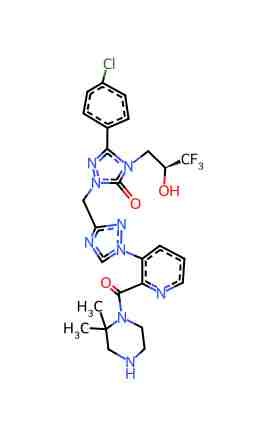 CC1(C)CNCCN1C(=O)c1ncccc1-n1cnc(Cn2nc(-c3ccc(Cl)cc3)n(C[C@H](O)C(F)(F)F)c2=O)n1